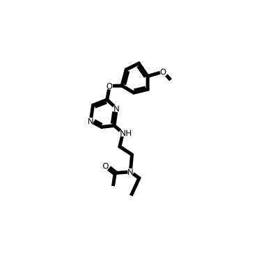 CCN(CCNc1cncc(Oc2ccc(OC)cc2)n1)C(C)=O